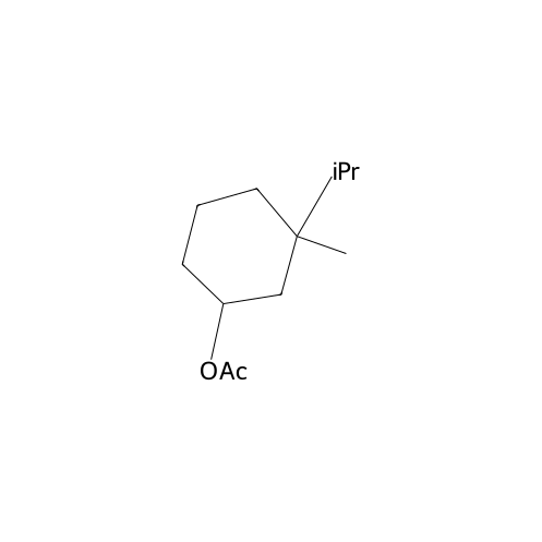 CC(=O)OC1CCCC(C)(C(C)C)C1